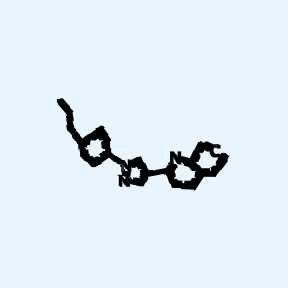 CCCc1ccc(-n2cc(-c3ccc4ccccc4n3)cn2)cc1